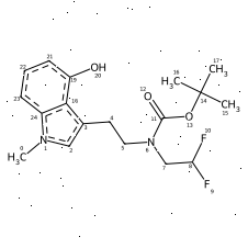 Cn1cc(CCN(CC(F)F)C(=O)OC(C)(C)C)c2c(O)cccc21